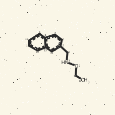 CCONCc1ccc2ccccc2c1